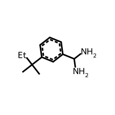 CCC(C)(C)c1cccc(C(N)N)c1